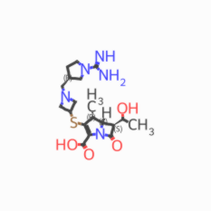 CC(O)[C@H]1C(=O)N2C(C(=O)O)=C(SC3CN(C[C@H]4CCN(C(=N)N)C4)C3)[C@H](C)[C@H]12